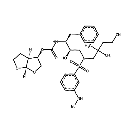 CCNc1cccc(S(=O)(=O)N(C[C@@H](O)[C@H](Cc2ccccc2)NC(=O)O[C@H]2CO[C@H]3OCC[C@H]32)CC(C)(C)CCC#N)c1